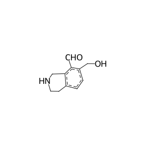 O=Cc1c(CO)ccc2c1CNCC2